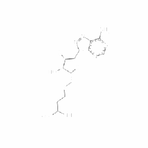 Nc1ncnc2c1N=N[C@H]2[C@@H]1O[C@H](CSCCC(N)C(=O)O)[C@@H](O)[C@H]1O